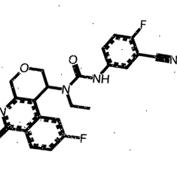 CCN(C(=O)Nc1ccc(F)c(C#N)c1)C1COCc2[nH]c(=O)c3ccc(F)cc3c21